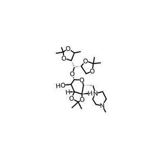 CC1OC(C)(C)O[C@H]1C(O[C@@H]1O[C@H](CN2CCN(C)CC2)[C@@H]2OC(C)(C)O[C@@H]2C1O)[C@H]1COC(C)(C)O1